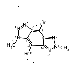 Cn1nc2c(Br)c3nnn(C)c3c(Br)c2n1